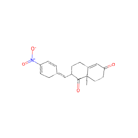 CC12CCC(=O)C=C1CCC(C=C1C=CC([N+](=O)[O-])=CC1)C2=O